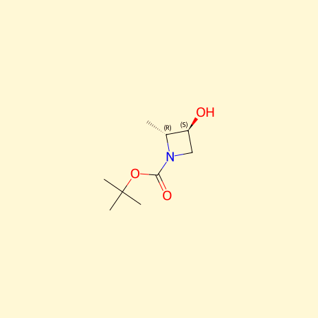 C[C@@H]1[C@@H](O)CN1C(=O)OC(C)(C)C